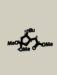 CCCCC1CC(OC)(OC)CC1CC(=O)OC